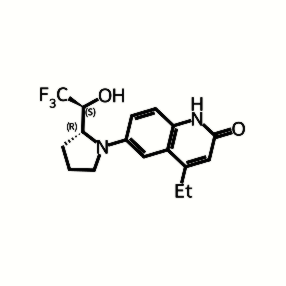 CCc1cc(=O)[nH]c2ccc(N3CCC[C@@H]3[C@H](O)C(F)(F)F)cc12